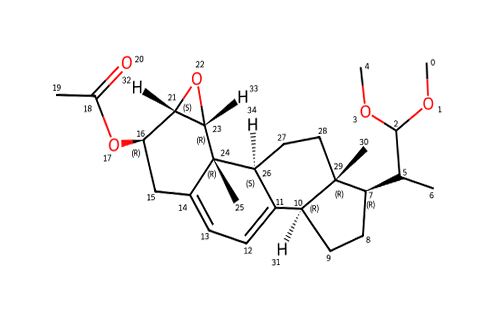 COC(OC)C(C)[C@H]1CC[C@H]2C3=CC=C4C[C@@H](OC(C)=O)[C@@H]5O[C@@H]5[C@]4(C)[C@H]3CC[C@]12C